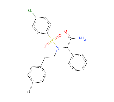 CCc1ccc(CCN(C(C(N)=O)c2ccccc2)S(=O)(=O)c2ccc(Cl)cc2)cc1